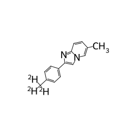 [2H]C([2H])([2H])c1ccc(-c2cn3cc(C)ccc3n2)cc1